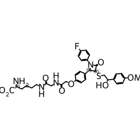 COc1ccc(C(O)CS[C@H]2C(=O)N(c3ccc(F)cc3)[C@@H]2c2ccc(OCC(=O)NCC(=O)NCCCC[C@@H](N)C(=O)O)cc2)cc1